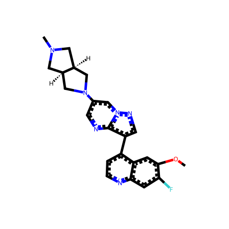 COc1cc2c(-c3cnn4cc(N5C[C@H]6CN(C)C[C@H]6C5)cnc34)ccnc2cc1F